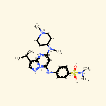 CC(C)c1cnn2c(Nc3ccc(S(=O)(=O)N(C)C)cc3)cc(N(C)C3CCN(C)CC3)nc12